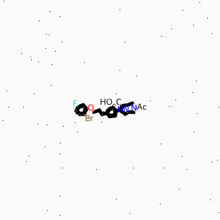 CC(=O)N1CC2CC(c3ccc(CCCOc4cc(F)ccc4Br)cc3)=C(C(=O)O)C(C1)N2